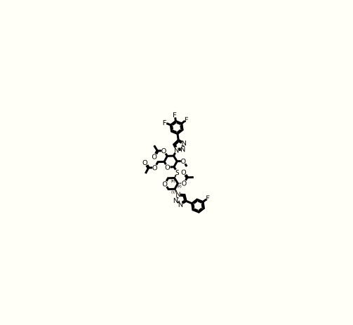 COC1C(S[C@@H]2COC[C@H](n3cc(-c4cccc(F)c4)nn3)[C@H]2OC(C)=O)OC(COC(C)=O)C(OC(C)=O)C1n1cc(-c2cc(F)c(F)c(F)c2)nn1